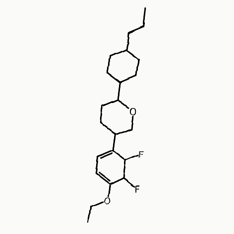 CCCC1CCC(C2CCC(C3=CC=C(OCC)C(F)C3F)CO2)CC1